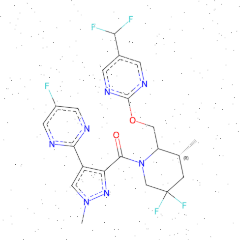 C[C@@H]1CC(F)(F)CN(C(=O)c2nn(C)cc2-c2ncc(F)cn2)C1COc1ncc(C(F)F)cn1